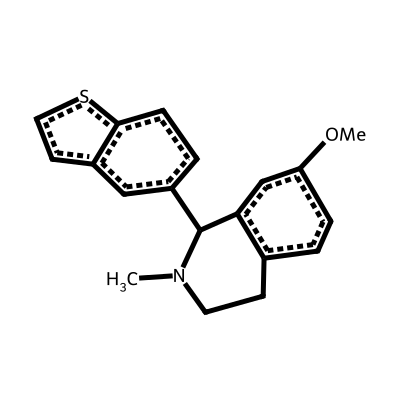 COc1ccc2c(c1)C(c1ccc3sccc3c1)N(C)CC2